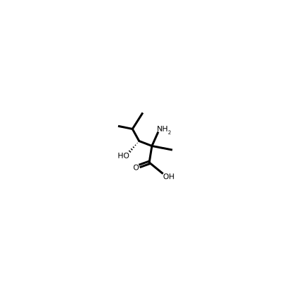 CC(C)[C@@H](O)C(C)(N)C(=O)O